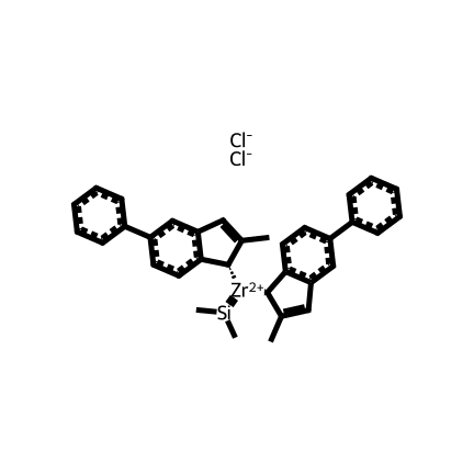 CC1=Cc2cc(-c3ccccc3)ccc2[C@@H]1[Zr+2]([C@H]1C(C)=Cc2cc(-c3ccccc3)ccc21)=[Si](C)C.[Cl-].[Cl-]